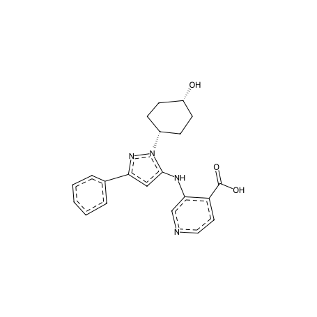 O=C(O)c1ccncc1Nc1cc(-c2ccccc2)nn1[C@H]1CC[C@@H](O)CC1